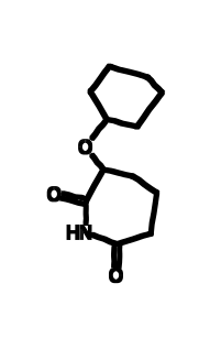 O=C1CCCC(OC2CCCCC2)C(=O)N1